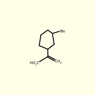 C=C(C(=O)O)C1CCCC(C(C)(C)C)C1